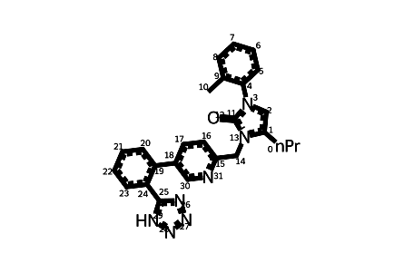 CCCc1cn(-c2ccccc2C)c(=O)n1Cc1ccc(-c2ccccc2-c2nnn[nH]2)cn1